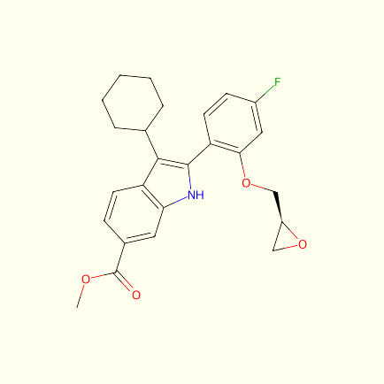 COC(=O)c1ccc2c(C3CCCCC3)c(-c3ccc(F)cc3OC[C@@H]3CO3)[nH]c2c1